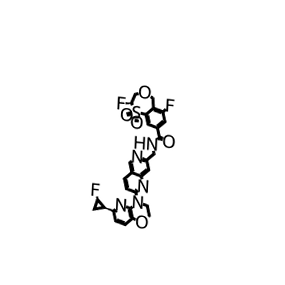 O=C(NCc1cc2nc(N3CCOc4ccc([C@H]5C[C@H]5F)nc43)ccc2cn1)c1cc(F)c2c(c1)S(=O)(=O)[C@@H](F)COC2